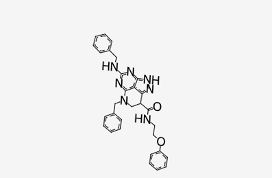 O=C(NCCOc1ccccc1)C1CN(Cc2ccccc2)c2nc(NCc3ccccc3)nc3[nH]nc1c23